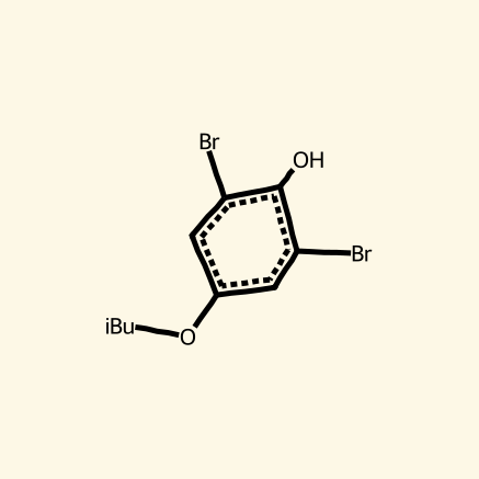 CCC(C)Oc1cc(Br)c(O)c(Br)c1